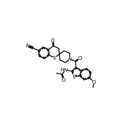 COc1ccc2c(C(=O)N3CCC4(CC3)CC(=O)c3cc(C#N)ccc3S4)c(NC(C)=O)sc2c1